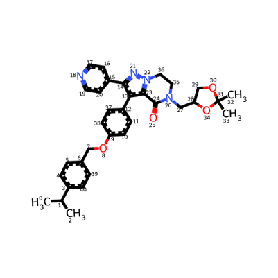 CC(C)c1ccc(COc2ccc(-c3c(-c4ccncc4)nn4c3C(=O)N(CC3COC(C)(C)O3)CC4)cc2)cc1